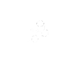 CCc1cc(CC)cc([Si](Cl)(c2c(C)cccc2C)c2c(C)cccc2C)c1